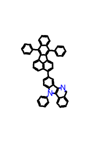 c1ccc(-c2c3c(c(-c4ccccc4)c4ccccc24)-c2ccc(-c4ccc5c(c4)c4ncc6ccccc6c4n5-c4ccccc4)c4cccc-3c24)cc1